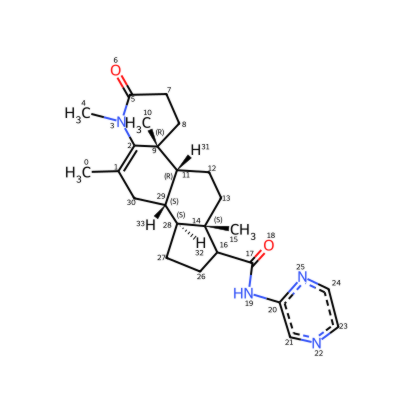 CC1=C2N(C)C(=O)CC[C@]2(C)[C@@H]2CC[C@]3(C)C(C(=O)Nc4cnccn4)CC[C@H]3[C@@H]2C1